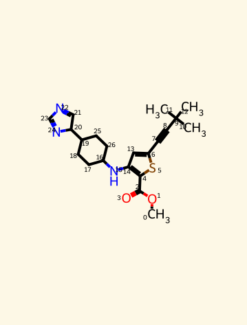 COC(=O)c1sc(C#CC(C)(C)C)cc1NC1CCC(C2C=NC=N2)CC1